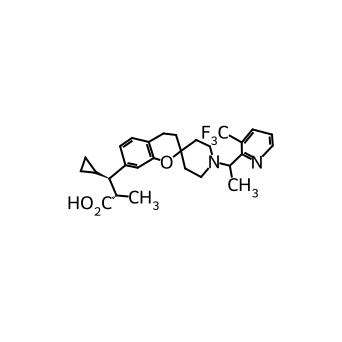 CC(c1ncccc1C(F)(F)F)N1CCC2(CCc3ccc([C@H](C4CC4)[C@H](C)C(=O)O)cc3O2)CC1